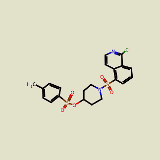 Cc1ccc(S(=O)(=O)OC2CCN(S(=O)(=O)c3cccc4c(Cl)nccc34)CC2)cc1